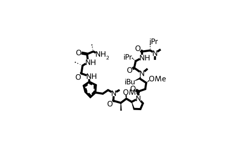 CC[C@H](C)[C@@H]([C@@H](CC(=O)N1CCC[C@H]1[C@H](OC)[C@@H](C)C(=O)N(C)CCc1cccc(NC(=O)[C@H](C)NC(=O)[C@H](C)N)c1)OC)N(C)C(=O)[C@@H](NC(=O)[C@H](C(C)C)N(C)C)C(C)C